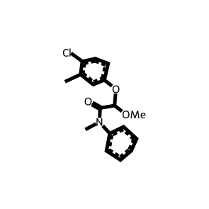 COC(Oc1ccc(Cl)c(C)c1)C(=O)N(C)c1ccccc1